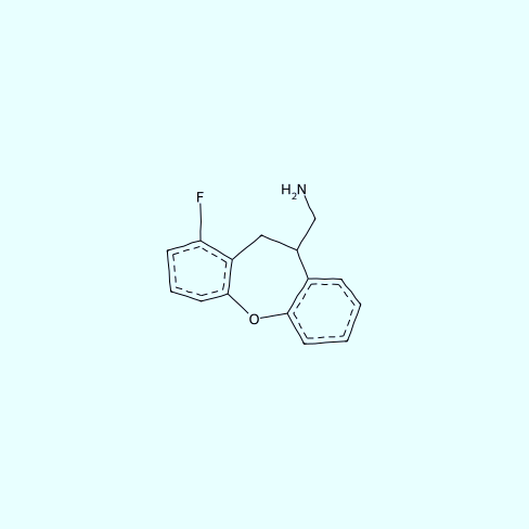 NCC1Cc2c(F)cccc2Oc2ccccc21